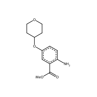 COC(=O)c1cc(OC2CCOCC2)ccc1N